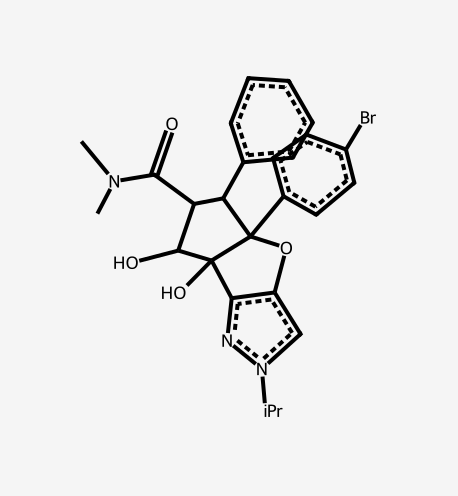 CC(C)n1cc2c(n1)C1(O)C(O)C(C(=O)N(C)C)C(c3ccccc3)C1(c1ccc(Br)cc1)O2